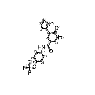 Cn1nccc1-c1cc(C(=O)Nc2ccc(OC(F)(F)Cl)cc2)cn(C)c1=O